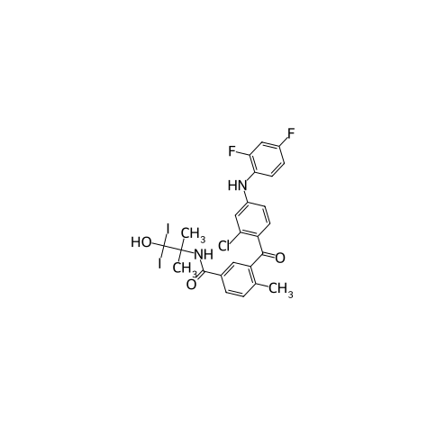 Cc1ccc(C(=O)NC(C)(C)C(O)(I)I)cc1C(=O)c1ccc(Nc2ccc(F)cc2F)cc1Cl